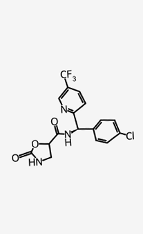 O=C1NCC(C(=O)N[C@H](c2ccc(Cl)cc2)c2ccc(C(F)(F)F)cn2)O1